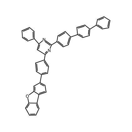 c1ccc(-c2ccc(-c3ccc(-c4nc(-c5ccccc5)cc(-c5ccc(-c6ccc7c(c6)oc6ccccc67)cc5)n4)cc3)cc2)cc1